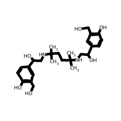 CC(C)(CCC(C)(C)NCC(O)c1ccc(O)c(CO)c1)NCC(O)c1ccc(O)c(CO)c1